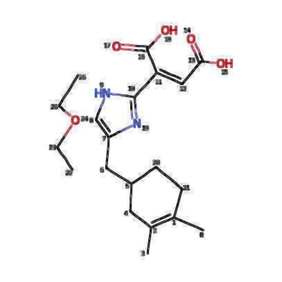 CC1=C(C)CC(Cc2c[nH]c(C(=CC(=O)O)C(=O)O)n2)CC1.CCOCC